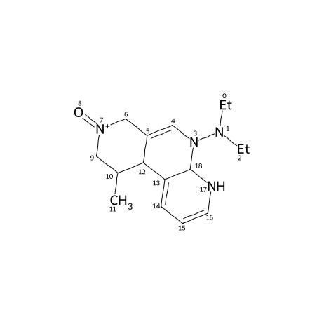 CCN(CC)N1C=C2C[N+](=O)CC(C)C2C2=CC=CNC21